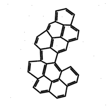 c1cc2ccc3cc4c5c(ccc6cc(c1)c2c3c65)c1ccc2ccc3ccc5cccc6c5c3c2c1c64